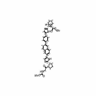 COC(=O)NCC(=O)N1CCC[C@H]1c1ncc(-c2ccc3cc(-c4ccc(-c5cnc([C@@H]6[C@H]7CCC(C7)N6C(=O)OC(C)(C)C)[nH]5)cc4)ccc3c2)[nH]1